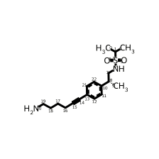 CC(C)S(=O)(=O)NC[C@H](C)c1ccc(C#CCCCCN)cc1